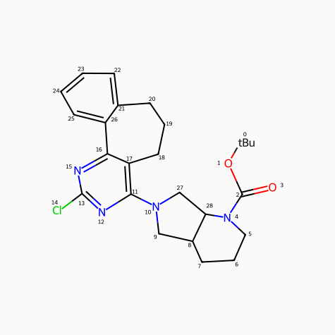 CC(C)(C)OC(=O)N1CCCC2CN(c3nc(Cl)nc4c3CCCc3ccccc3-4)CC21